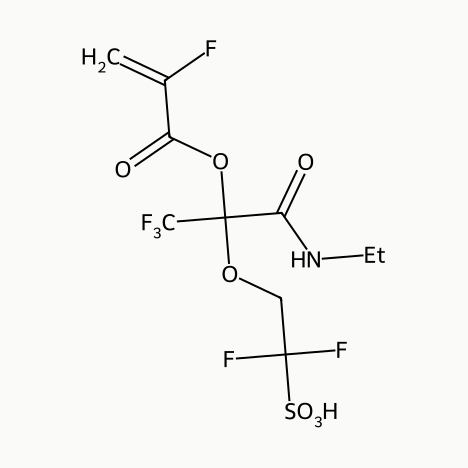 C=C(F)C(=O)OC(OCC(F)(F)S(=O)(=O)O)(C(=O)NCC)C(F)(F)F